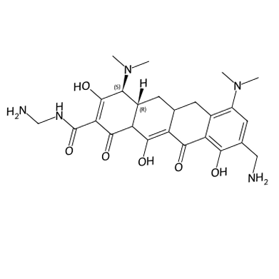 CN(C)c1cc(CN)c(O)c2c1CC1C[C@@H]3C(C(=O)C(C(=O)NCN)=C(O)[C@H]3N(C)C)C(O)=C1C2=O